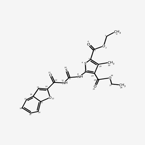 CCOC(=O)c1sc(NC(=S)NC(=O)c2cc3ccccc3o2)c(C(=O)OCC)c1C